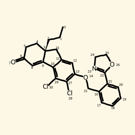 CCC[C@]12CCC(=O)C=C1c1c(cc(OCc3ccccc3C3=NCCO3)c(Cl)c1Cl)C2